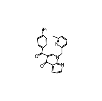 Cc1cccc(Cn2cc(C(=O)c3ccc(C(C)C)cc3)c(=O)c3cccnc32)n1